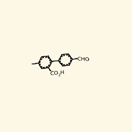 Cc1ccc(-c2ccc(C=O)cc2)c(C(=O)O)c1